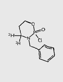 [2H]C1([2H])CCOP(=O)(Cl)N1Cc1ccccc1